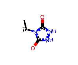 C[Te]n1c(=O)[nH][nH]c1=O